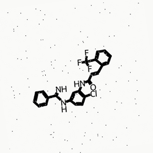 N=C(Nc1ccc(Cl)c(NC(=O)/C=C/c2ccccc2C(F)(F)F)c1)c1ccccc1